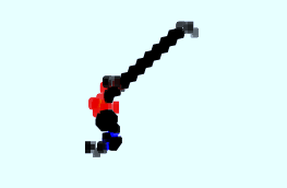 CCCCCCCCCCCCCCCCOCC(COP(=O)(O)Oc1ccc(CN2C=CN(C)C2)cc1)OC